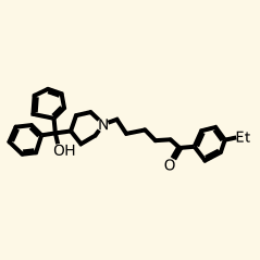 CCc1ccc(C(=O)CCCCCN2CCC(C(O)(c3ccccc3)c3ccccc3)CC2)cc1